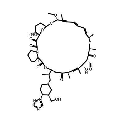 CO[C@H]1CC2CC[C@@H](C)[C@@](O)(O2)C(=O)C(=O)N2CCCC[C@H]2C(=O)O[C@H]([C@H](C)C[C@@H]2CC[C@H](n3cnnn3)[C@H](CO)C2)CC(=O)[C@H](C)/C=C(\C)[C@@H](O)[C@@H](C=O)C(=O)[C@H](C)C[C@H](C)/C=C/C=C/C=C/1C